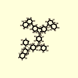 c1ccc(-c2nc3ccccc3nc2-c2ccc(N(c3ccccc3)c3ccc(-n4c5ccc(-c6cccc7ccccc67)cc5c5cc(-c6cccc7ccccc67)ccc54)cc3)cc2)cc1